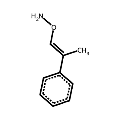 CC(=CON)c1ccccc1